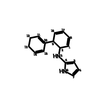 C1=CC(Nc2ccc[nH]2)C(C2=CCCC=C2)C=C1